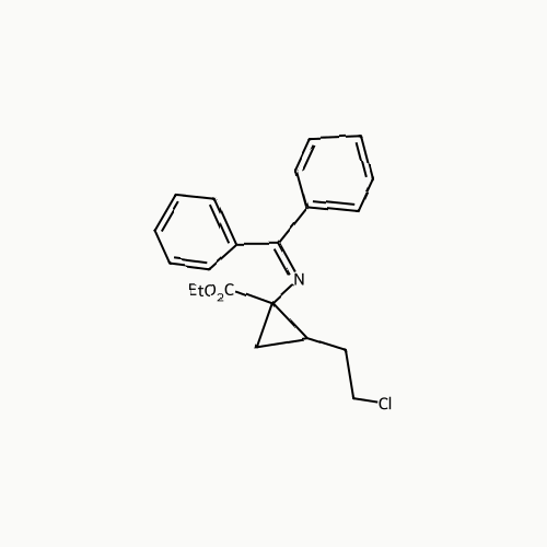 CCOC(=O)C1(N=C(c2ccccc2)c2ccccc2)CC1CCCl